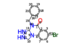 O=C1c2cc(Br)ccc2N2CNNC2N1Cc1ccccc1